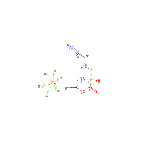 CCOC(=O)[P+](N)(O)CNCC#N.F[P-](F)(F)(F)(F)F